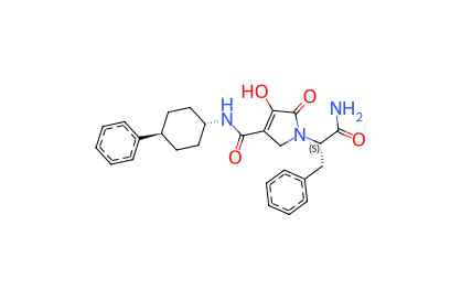 NC(=O)[C@H](Cc1ccccc1)N1CC(C(=O)N[C@H]2CC[C@H](c3ccccc3)CC2)=C(O)C1=O